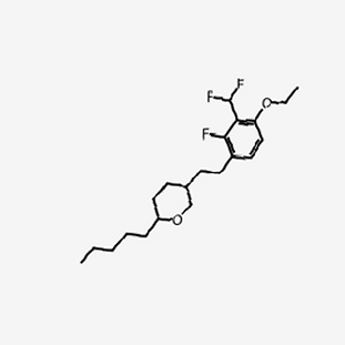 CCCCCC1CCC(CCc2ccc(OCC)c(C(F)F)c2F)CO1